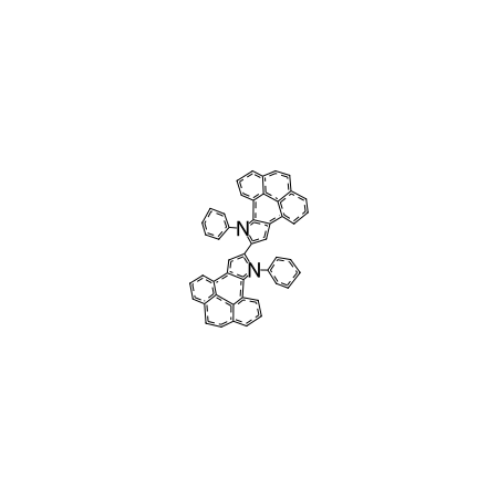 c1ccc(-n2c(-c3cc4c5cccc6ccc7cccc(c7c65)c4n3-c3ccccc3)cc3c4cccc5ccc6cccc(c6c54)c32)cc1